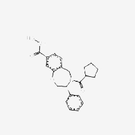 O=C(NO)c1ccc2c(c1)OC[C@H](c1ccccc1)N(C(=O)C1CCCC1)C2